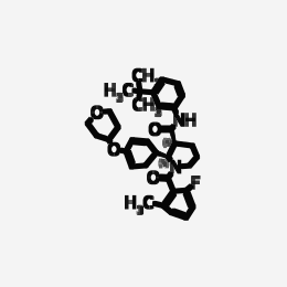 Cc1cccc(F)c1C(=O)N1CCC[C@H](C(=O)Nc2cccc(C(C)(C)C)c2)[C@@H]1C1C=CC(OC2CCOCC2)=CC1